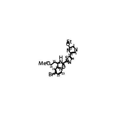 CCOc1cncc(-c2cnc(C(=O)NC(CCOC)c3cc(Br)ccn3)s2)n1